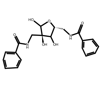 O=C(NC[C@H]1OC(O)[C@@](O)(CNC(=O)c2ccccc2)C1O)c1ccccc1